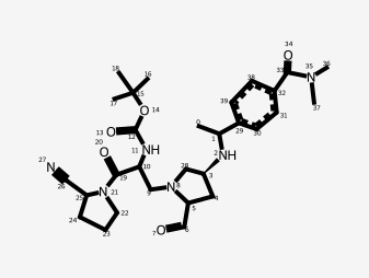 CC(N[C@H]1CC(C=O)N(CC(NC(=O)OC(C)(C)C)C(=O)N2CCCC2C#N)C1)c1ccc(C(=O)N(C)C)cc1